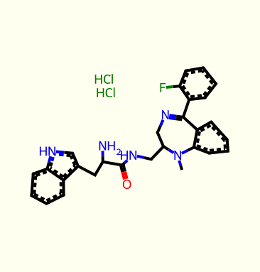 CN1c2ccccc2C(c2ccccc2F)=NCC1CNC(=O)C(N)Cc1c[nH]c2ccccc12.Cl.Cl